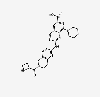 C[C@@H](O)c1cc2cnc(Nc3ccc4c(n3)CCN(C(=O)C3CCN3)C4)nc2c(N2CCCCC2)n1